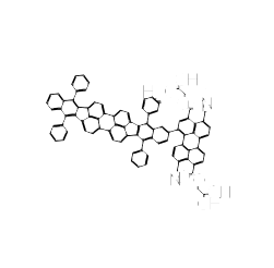 CC(C)COC(=O)c1ccc2c3ccc(C#N)c4c(C(=O)OCC(C)C)cc(-c5ccc6c(-c7ccccc7)c7c(c(-c8ccccc8)c6c5)-c5ccc6c8ccc9c%10c(ccc(c%11ccc-7c5c%116)c%108)-c5c-9c(-c6ccccc6)c6ccccc6c5-c5ccccc5)c(c5ccc(C#N)c1c25)c43